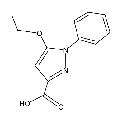 CCOc1cc(C(=O)O)nn1-c1ccccc1